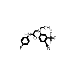 CCN(CC(=O)Nc1ccc(F)cc1)c1ccc(C#N)c(C(F)(F)F)c1